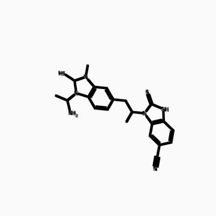 CC(N)N1c2ccc(CC(C)n3c(=S)[nH]c4ccc(C#N)cc43)cc2N(C)C1S